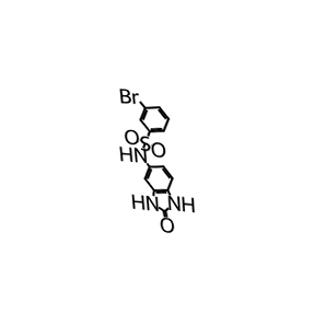 O=c1[nH]c2ccc(NS(=O)(=O)c3cccc(Br)c3)cc2[nH]1